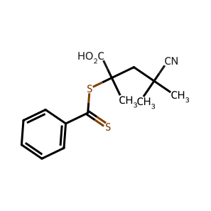 CC(C)(C#N)CC(C)(SC(=S)c1ccccc1)C(=O)O